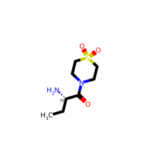 CC[C@H](N)C(=O)N1CCS(=O)(=O)CC1